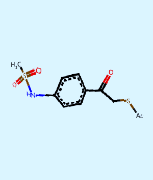 CC(=O)SCC(=O)c1ccc(NS(C)(=O)=O)cc1